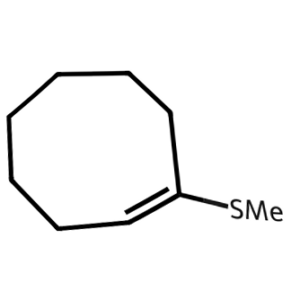 CSC1=CCCCCCC1